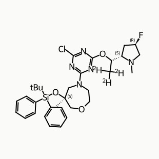 [2H]C([2H])([2H])C(Oc1nc(Cl)nc(N2CCOC[C@@](C)(O[Si](c3ccccc3)(c3ccccc3)C(C)(C)C)C2)n1)[C@@H]1C[C@@H](F)CN1C